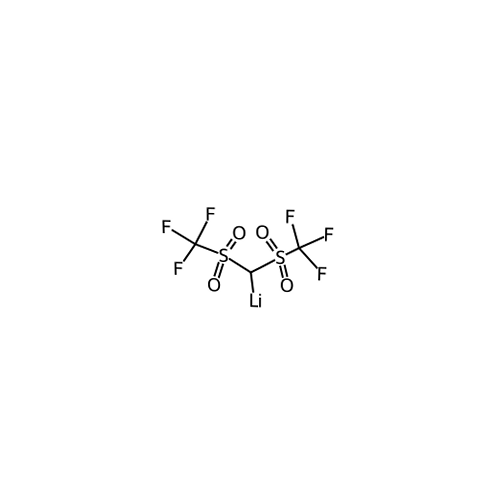 [Li][CH](S(=O)(=O)C(F)(F)F)S(=O)(=O)C(F)(F)F